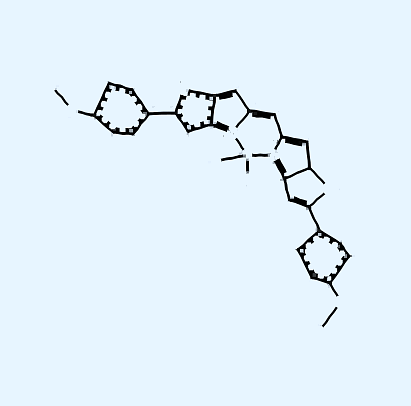 COc1ccc(C2=CC3=[N+]4C(=C[C]3O2)C=C2C=c3oc(-c5ccc(OC)cc5)cc3=[N+]2[B-]4(F)F)cc1